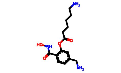 NCCCCCC(=O)Oc1cc(CN)ccc1C(=O)NO